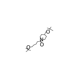 CC(C)(C)OCCCCC(=O)N1CCC(COC(C)(C)C)CC1